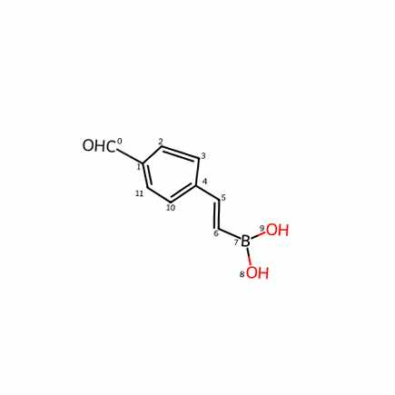 O=Cc1ccc(C=CB(O)O)cc1